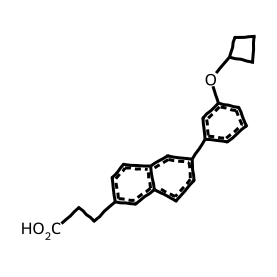 O=C(O)CCc1ccc2cc(-c3cccc(OC4CCC4)c3)ccc2c1